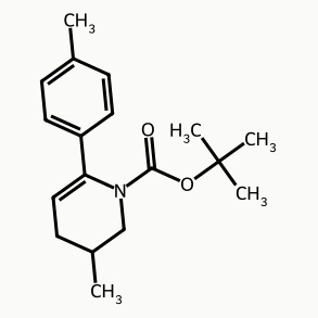 Cc1ccc(C2=CCC(C)CN2C(=O)OC(C)(C)C)cc1